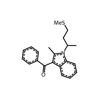 CSCCC(C)n1c(C)c(C(=O)c2ccccc2)c2ccccc21